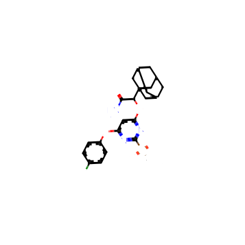 CS(=O)(=O)c1nc(Oc2ccc(F)cc2)cc(OC(C(N)=O)C23CC4CC(CC(C4)C2)C3)n1